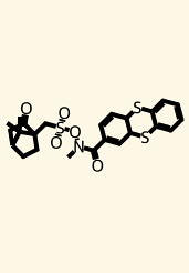 CN(OS(=O)(=O)CC12CCC(CC1=O)C2(C)C)C(=O)C1=CC2Sc3ccccc3SC2C=C1